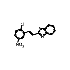 O=[N+]([O-])c1ccc(Cl)c(C=Cc2nc3ccccc3s2)c1